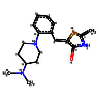 C=c1[nH]c(=O)/c(=C/c2ccccc2N2CCC(N(C)C)CC2)s1